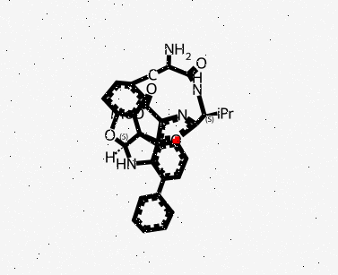 COC(=O)c1nc2oc1C13c4cc(ccc4O[C@@H]1Nc1c(-c4ccccc4)cccc13)CC(N)C(=O)N[C@H]2C(C)C